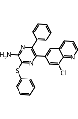 Nc1nc(-c2ccccc2)c(-c2cc(Cl)c3ncccc3c2)nc1Sc1ccccc1